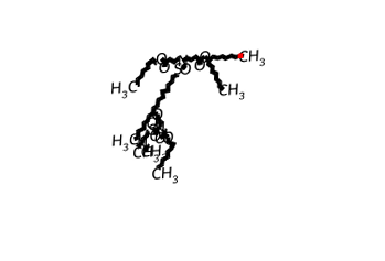 CCCCCC/C=C\COC(=O)CCCN(CCCC(=O)OC(CCCCCCCC)CCCCCCCC)C(=O)SCCCCCCCCCCC(CCCCCCC)OC(=O)CN(CC(=O)OC/C=C\CCCCCC)C(=O)SCCCN(CC)CC